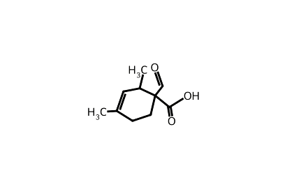 CC1=CC(C)C(C=O)(C(=O)O)CC1